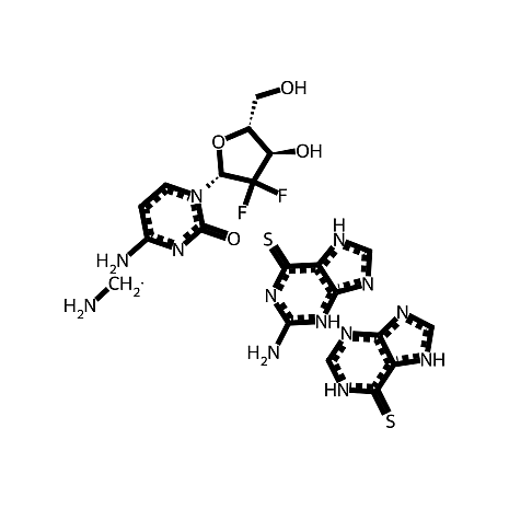 Nc1ccn([C@@H]2O[C@H](CO)[C@@H](O)C2(F)F)c(=O)n1.Nc1nc(=S)c2[nH]cnc2[nH]1.S=c1[nH]cnc2nc[nH]c12.[CH2]N